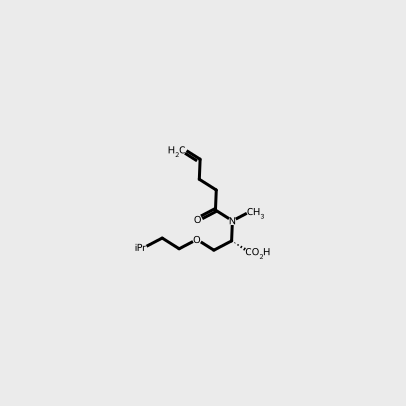 C=CCCC(=O)N(C)[C@@H](COCCC(C)C)C(=O)O